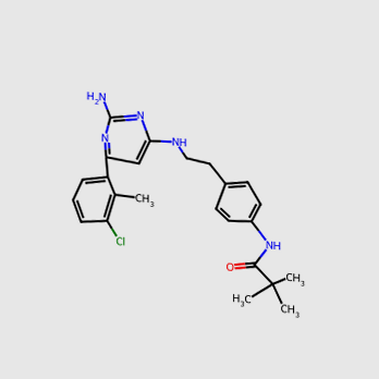 Cc1c(Cl)cccc1-c1cc(NCCc2ccc(NC(=O)C(C)(C)C)cc2)nc(N)n1